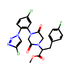 COC(=O)C(Cc1ccc(F)cc1)N1CC(=O)N(c2cc(Cl)ccc2-n2cc(Cl)nn2)CC1=O